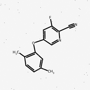 Cc1ccc(C)c(Oc2cnc(C#N)c(F)c2)c1